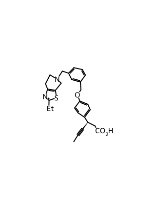 CC#C[C@H](CC(=O)O)c1ccc(OCc2cccc(CN3CCc4nc(CC)sc4C3)c2)cc1